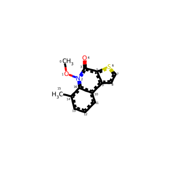 COn1c(=O)c2sccc2c2cccc(C)c21